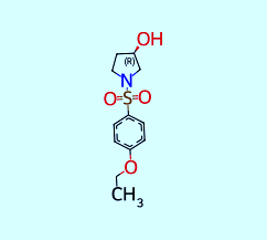 CCOc1ccc(S(=O)(=O)N2CC[C@@H](O)C2)cc1